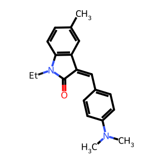 CCN1C(=O)/C(=C\c2ccc(N(C)C)cc2)c2cc(C)ccc21